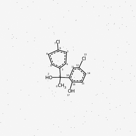 CC(O)(c1ccc(Cl)cc1)c1cc(Cl)ccc1O